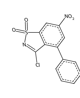 O=[N+]([O-])c1cc(-c2ccccc2)c2c(c1)S(=O)(=O)N=C2Cl